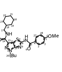 COc1ccc(C(=O)Nc2nc3c(s2)c(C(=O)NCC2CCCCC2)nn3C(C)(C)C)cc1